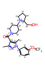 Cc1nn(-c2cccc(OC(F)(F)F)c2)c(C)c1C(=O)N1CCC(N2CCCC2CO)CC1